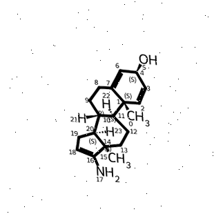 C[C@]12C=C[C@H](O)C=C1CC[C@@H]1[C@@H]2CC[C@]2(C)C(N)=CC[C@@H]12